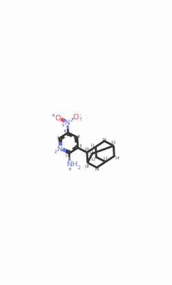 Nc1ncc([N+](=O)[O-])cc1C1C2CC3CC(C2)CC1C3